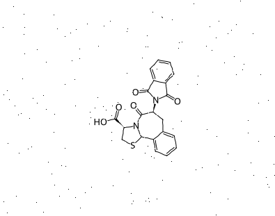 O=C(O)[C@@H]1CSC2c3ccccc3C[C@H](N3C(=O)c4ccccc4C3=O)C(=O)N21